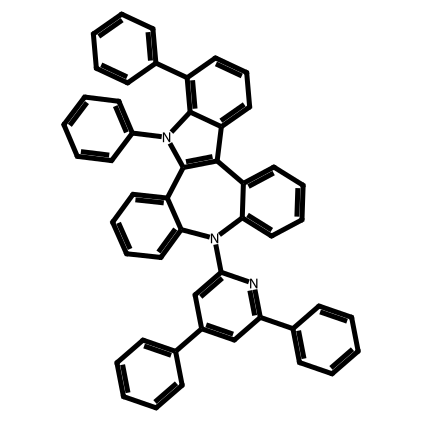 c1ccc(-c2cc(-c3ccccc3)nc(N3c4ccccc4-c4c(n(-c5ccccc5)c5c(-c6ccccc6)cccc45)-c4ccccc43)c2)cc1